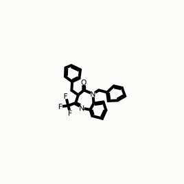 O=C1C(Cc2ccccc2)C(C(F)(F)F)=Nc2ccccc2N1Cc1ccccc1